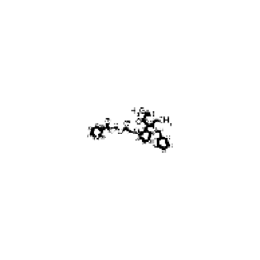 CCc1c(C(=O)C(C)=O)c2c(OCC(=O)OCOC(=O)c3cccnc3)cccc2n1Cc1ccccc1